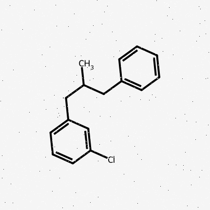 CC([CH]c1cccc(Cl)c1)Cc1ccccc1